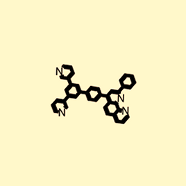 c1ccc(-c2cc(-c3ccc(-c4cc(-c5cccnc5)cc(-c5cccnc5)c4)cc3)c3ccc4cccnc4c3n2)cc1